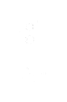 CC1CC2CC(C)C(C1)C(CN1CC3CC(COc4ccc(-c5cc(F)ccc5Cl)nn4)CC3C1)C2